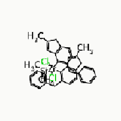 CC1=Cc2c(ccc(Cc3ccccc3)[c]2[Zr]([Cl])([Cl])([c]2c(Cc3ccccc3)ccc3c2C=C(C)C3)[SiH](C)C)C1